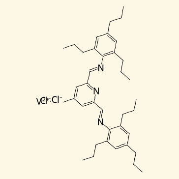 CCCc1cc(CCC)c(N=Cc2cc(C)cc(C=Nc3c(CCC)cc(CCC)cc3CCC)n2)c(CCC)c1.[Cl-].[Cl-].[V+2]